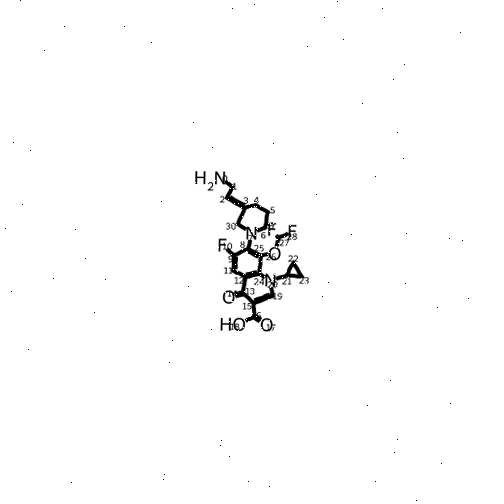 NCC=C1CCCN(c2c(F)cc3c(=O)c(C(=O)O)cn(C4CC4)c3c2OC(F)F)C1